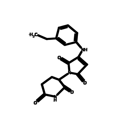 [CH2]Cc1cccc(NC2=CC(=O)N(C3CCC(=O)NC3=O)C2=O)c1